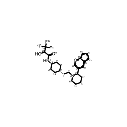 O=C(N[C@H]1CC[C@H](CCN2CCCCC2c2coc3cccc-3c2)CC1)C(O)C(F)(F)F